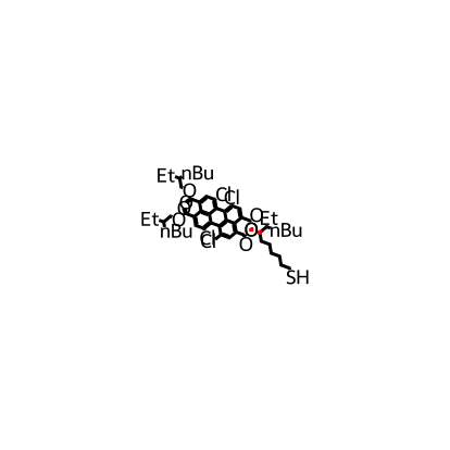 CCCCC(CC)COC(=O)c1cc(Cl)c2c3c(Cl)cc(C(=O)OCC(CC)CCCC)c4c(C(=O)OCC(CC)CCCC)cc(Cl)c(c5c(Cl)cc(C(=O)OCCCCCCCS)c1c52)c43